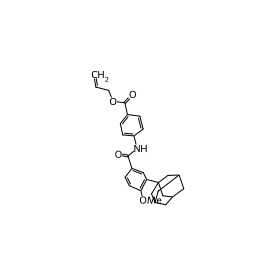 C=CCOC(=O)c1ccc(NC(=O)c2ccc(OC)c(C34CC5CC(CC(C5)C3)C4)c2)cc1